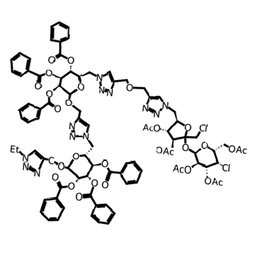 CCn1cc(COC2O[C@H](Cn3cc(COC4O[C@H](Cn5cc(COCc6cn(C[C@H]7OC(CCl)(OC8O[C@H](COC(C)=O)[C@H](Cl)[C@H](OC(C)=O)[C@H]8OC(C)=O)[C@@H](OC(C)=O)[C@@H]7OC(C)=O)nn6)nn5)[C@@H](OC(=O)c5ccccc5)[C@H](OC(=O)c5ccccc5)[C@@H]4OC(=O)c4ccccc4)nn3)[C@@H](OC(=O)c3ccccc3)[C@H](OC(=O)c3ccccc3)[C@@H]2OC(=O)c2ccccc2)nn1